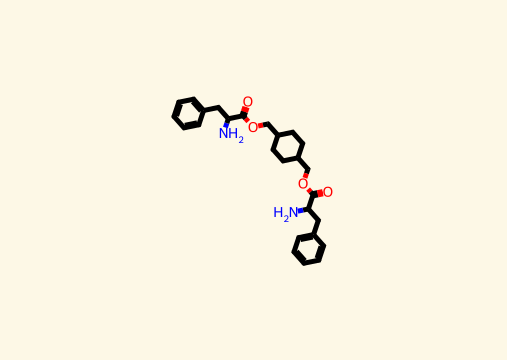 NC(Cc1ccccc1)C(=O)OCC1CCC(COC(=O)C(N)Cc2ccccc2)CC1